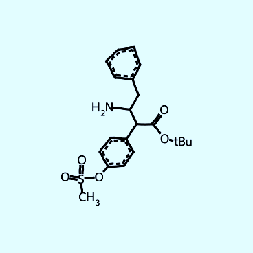 CC(C)(C)OC(=O)C(c1ccc(OS(C)(=O)=O)cc1)C(N)Cc1ccccc1